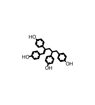 Oc1ccc(/C=C(/CC(Cc2ccc(O)cc2)c2ccc(O)cc2)c2ccc(O)cc2)cc1